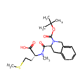 CSCC[C@H](C(=O)O)N(C)C(=O)C1Cc2ccccc2CN1C(=O)OC(C)(C)C